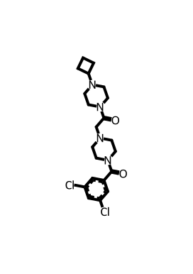 O=C(CN1CCN(C(=O)c2cc(Cl)cc(Cl)c2)CC1)N1CCN(C2CCC2)CC1